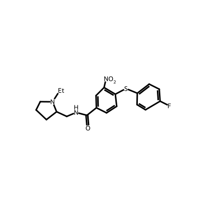 CCN1CCCC1CNC(=O)c1ccc(Sc2ccc(F)cc2)c([N+](=O)[O-])c1